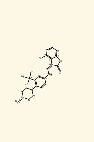 CN1CCN(c2ccc(NC=C3C(=O)Nc4cccc(F)c43)cc2C(F)(F)F)CC1